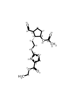 CCOC(=O)c1csc(SCC[C@@H]2C(C=O)CCC2OC(C)=O)n1